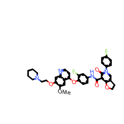 COc1cc2c(Oc3ccc(NC(=O)c4c5c(cn(-c6ccc(F)cc6)c4=O)CCO5)cc3F)ccnc2cc1OCCN1CCCCC1